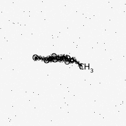 CCCCCCC1CCC(C(=O)Oc2ccc3c(c2)Cc2cc(OC(=O)c4ccc(OCCCCCC5CO5)cc4)ccc2-3)CC1